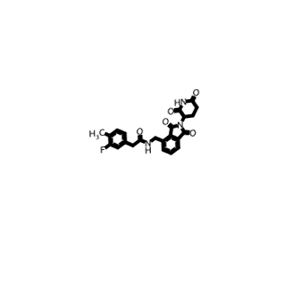 Cc1ccc(CC(=O)NCc2cccc3c2C(=O)N(C2CCC(=O)NC2=O)C3=O)cc1F